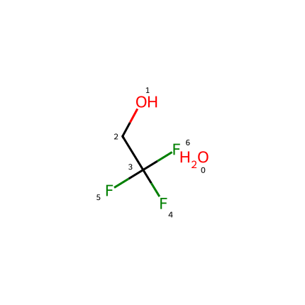 O.OCC(F)(F)F